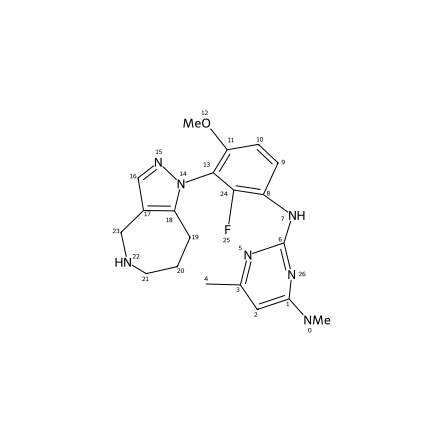 CNc1cc(C)nc(Nc2ccc(OC)c(-n3ncc4c3CCCNC4)c2F)n1